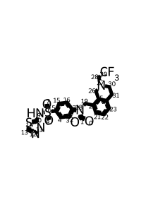 O=c1oc2cc(S(=O)(=O)Nc3nncs3)ccc2n1Cc1cccc2c1CN(CC(F)(F)F)CC2